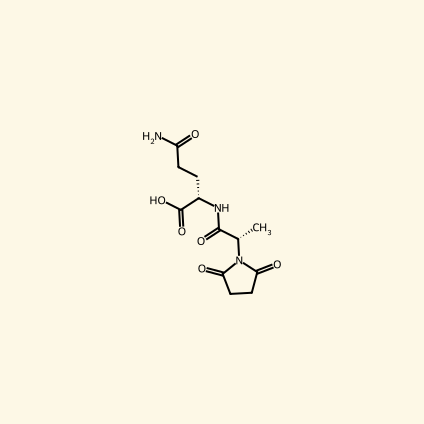 C[C@@H](C(=O)N[C@@H](CCC(N)=O)C(=O)O)N1C(=O)CCC1=O